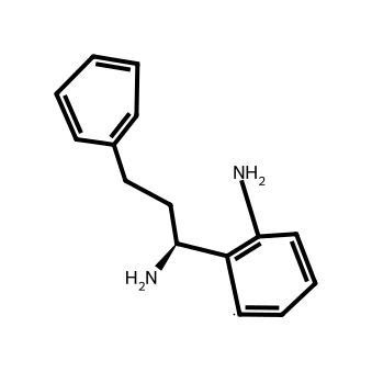 Nc1ccc[c]c1[C@@H](N)CCc1ccccc1